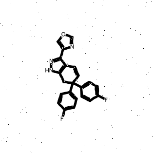 Fc1ccc(C2(c3ccc(F)cc3)C=Cc3c(-c4cocn4)n[nH]c3C2)cc1